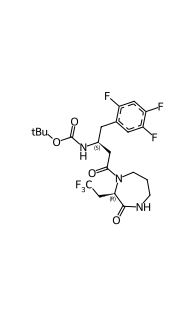 CC(C)(C)OC(=O)N[C@H](CC(=O)N1CCCNC(=O)[C@H]1CC(F)(F)F)Cc1cc(F)c(F)cc1F